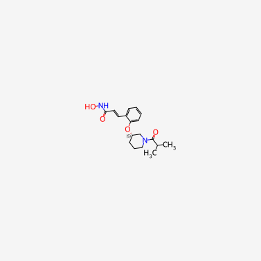 CC(C)C(=O)N1CCC[C@H](Oc2ccccc2C=CC(=O)NO)C1